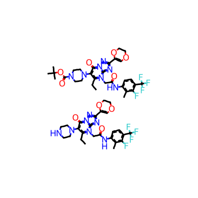 CCc1c(N2CCN(C(=O)OC(C)(C)C)CC2)c(=O)n2nc(C3=COCCO3)nc2n1CC(=O)Nc1ccc(C(F)(F)F)c(F)c1C.CCc1c(N2CCNCC2)c(=O)n2nc(C3=COCCO3)nc2n1CC(=O)Nc1ccc(C(F)(F)F)c(F)c1C